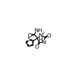 NC(=O)C1(c2cccs2)NC(=O)[N]C1=O